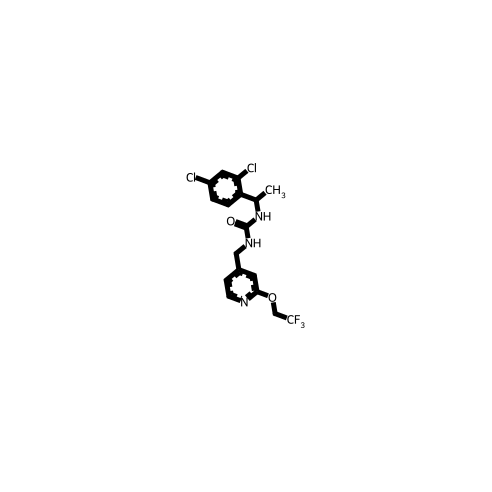 CC(NC(=O)NCc1ccnc(OCC(F)(F)F)c1)c1ccc(Cl)cc1Cl